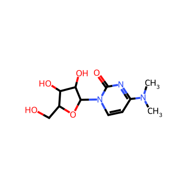 CN(C)c1ccn(C2OC(CO)C(O)C2O)c(=O)n1